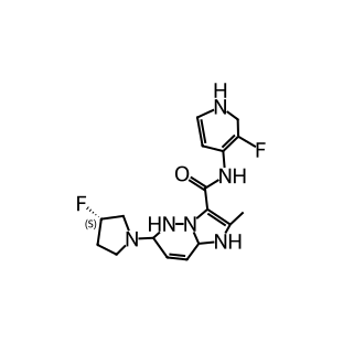 CC1=C(C(=O)NC2=C(F)CNC=C2)N2NC(N3CC[C@H](F)C3)C=CC2N1